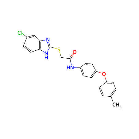 Cc1ccc(Oc2ccc(NC(=O)CSc3nc4cc(Cl)ccc4[nH]3)cc2)cc1